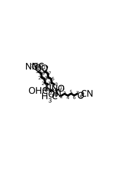 CN(CCCCCCOC#N)C(=O)N(CCCCCCOC#N)C(=O)N(C=O)CCCCCCOC#N